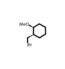 CO[C@H]1CCCC[C@H]1CC(C)C